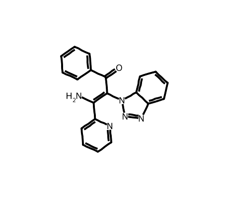 N/C(=C(\C(=O)c1ccccc1)n1nnc2ccccc21)c1ccccn1